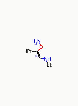 CCN/C=C(\ON)C(C)C